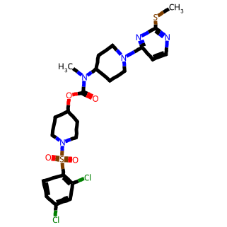 CSc1nccc(N2CCC(N(C)C(=O)OC3CCN(S(=O)(=O)c4ccc(Cl)cc4Cl)CC3)CC2)n1